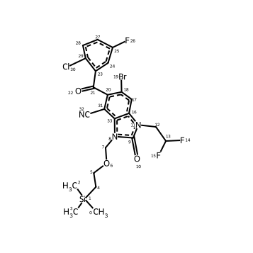 C[Si](C)(C)CCOCn1c(=O)n(CC(F)F)c2cc(Br)c(C(=O)c3cc(F)ccc3Cl)c(C#N)c21